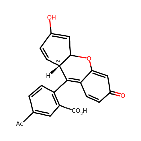 CC(=O)c1ccc(C2=C3C=CC(=O)C=C3OC3C=C(O)C=C[C@@H]23)c(C(=O)O)c1